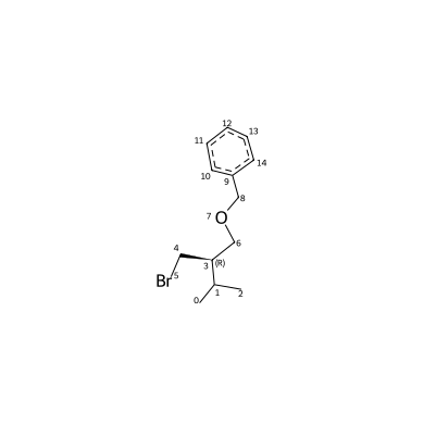 CC(C)[C@@H](CBr)COCc1ccccc1